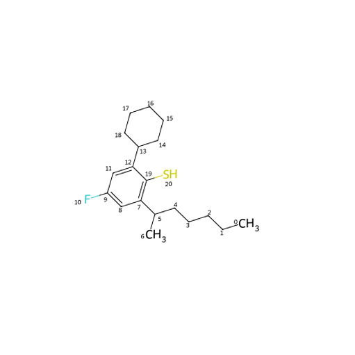 CCCCCC(C)c1cc(F)cc(C2CCCCC2)c1S